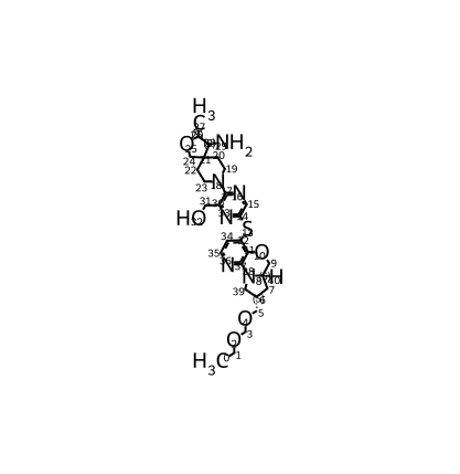 CCOCOC[C@H]1C[C@H]2COc3c(Sc4cnc(N5CCC6(CC5)CO[C@@H](C)[C@H]6N)c(CO)n4)ccnc3N2C1